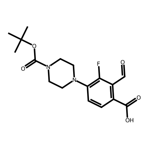 CC(C)(C)OC(=O)N1CCN(c2ccc(C(=O)O)c(C=O)c2F)CC1